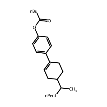 CCCCCC(C)C1CC=C(c2ccc(OC(=O)CCCC)cc2)CC1